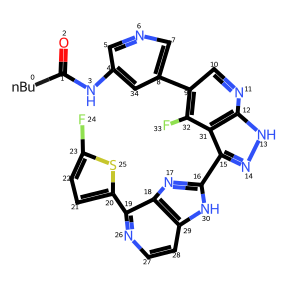 CCCCC(=O)Nc1cncc(-c2cnc3[nH]nc(-c4nc5c(-c6ccc(F)s6)nccc5[nH]4)c3c2F)c1